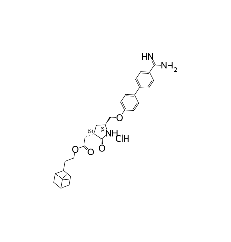 CC1(C)C2CCC(CCOC(=O)C[C@@H]3C[C@@H](COc4ccc(-c5ccc(C(=N)N)cc5)cc4)NC3=O)C1C2.Cl